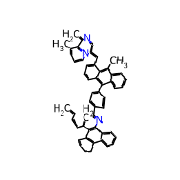 C=C/C=C\C(=C)c1c2c(c3ccccc3c1/N=C/c1ccc(-c3c4ccccc4c(C)c4c(/C=C/C=N\C(=C)c5ncccc5C)cccc34)cc1)CCC=C2